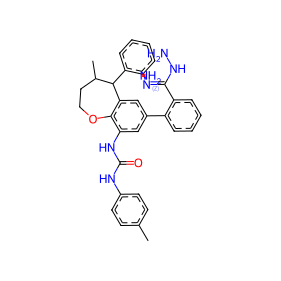 Cc1ccc(NC(=O)Nc2cc(-c3ccccc3/C(=N/N)NN)cc3c2OCCC(C)C3c2ccccc2)cc1